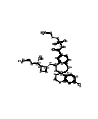 C=CCCS(=O)(=O)NC(=O)c1ccc2c(c1)N(C[C@@H]1CC[C@H]1[C@@H](O)CC=C)C[C@@]1(CCCc3cc(Cl)ccc31)CO2